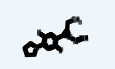 CCC1=C(c2cc(F)c(N3CCCC3)cc2F)N1N=N